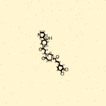 O=C(C=Cc1ccc(Cl)c(Cl)c1)N1CCC(=O)N(CCC(=O)N2CCC(O)(c3cccnc3)CC2)CC1